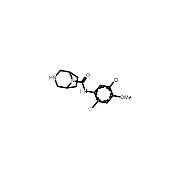 COc1cc(Cl)c(NC(=O)N2C3CCC2CNC3)cc1Cl